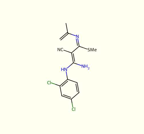 C=C(C)/N=C(SC)\C(C#N)=C(/N)Nc1ccc(Cl)cc1Cl